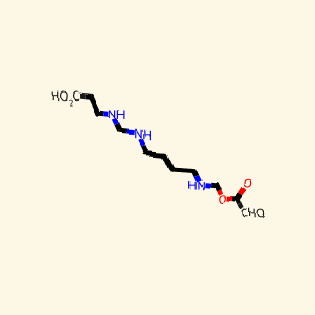 O=CC(=O)OCNCCCCNCNCCC(=O)O